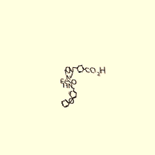 CCC(C(=O)NCc1ccc(Oc2ccccc2)cc1)N1CCCN(Cc2ccc(C(=O)O)cc2)CC1